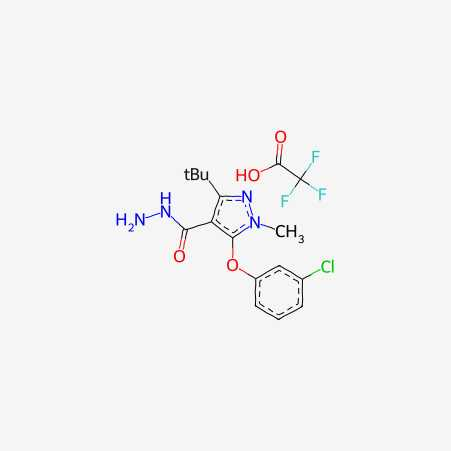 Cn1nc(C(C)(C)C)c(C(=O)NN)c1Oc1cccc(Cl)c1.O=C(O)C(F)(F)F